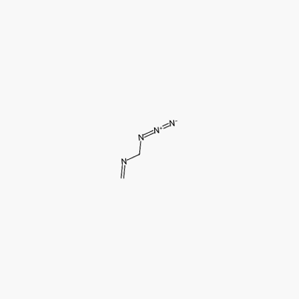 C=NCN=[N+]=[N-]